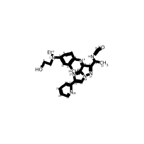 CCN(CCO)c1ccc(/N=C2/C(C(C)N=C=O)=Nn3cc(-c4ccccn4)nc32)c(C)c1